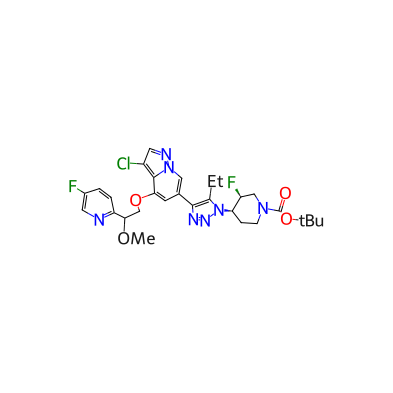 CCc1c(-c2cc(OCC(OC)c3ccc(F)cn3)c3c(Cl)cnn3c2)nnn1[C@@H]1CCN(C(=O)OC(C)(C)C)C[C@@H]1F